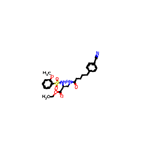 CCOC(=O)[C@H](CNC(=O)CCCCc1ccc(C#N)cc1)NS(=O)(=O)c1ccccc1OC